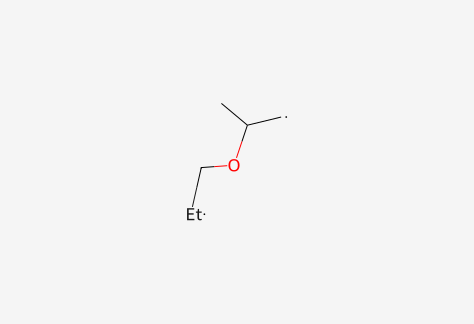 [CH2]C(C)OC[CH]C